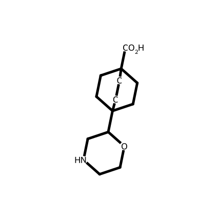 O=C(O)C12CCC(C3CNCCO3)(CC1)CC2